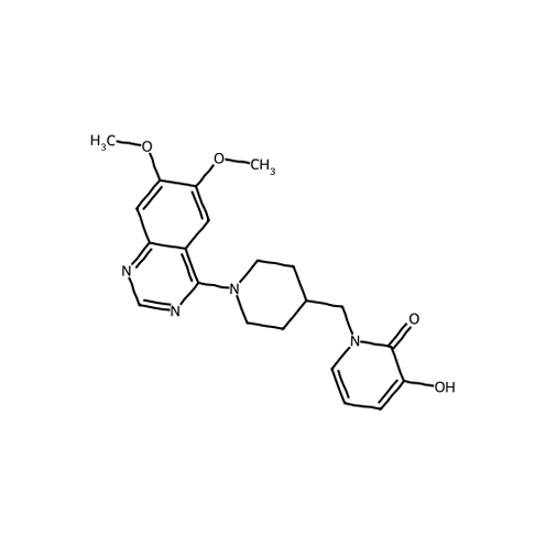 COc1cc2ncnc(N3CCC(Cn4cccc(O)c4=O)CC3)c2cc1OC